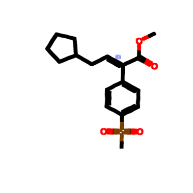 COC(=O)/C(=C/CC1CCCC1)c1ccc(S(C)(=O)=O)cc1